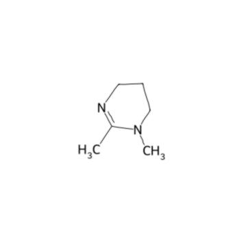 CC1=NCCCN1C